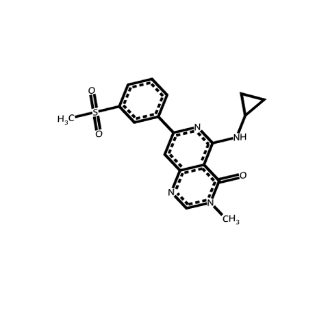 Cn1cnc2cc(-c3cccc(S(C)(=O)=O)c3)nc(NC3CC3)c2c1=O